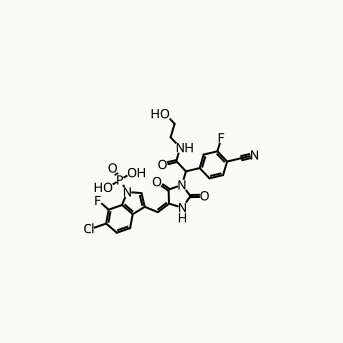 N#Cc1ccc(C(C(=O)NCCO)N2C(=O)NC(=Cc3cn(P(=O)(O)O)c4c(F)c(Cl)ccc34)C2=O)cc1F